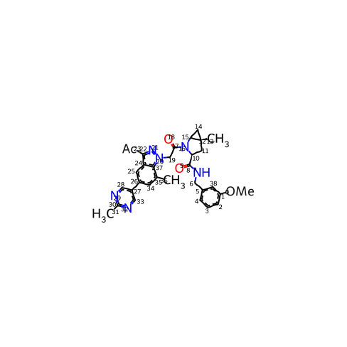 COc1cccc(CNC(=O)[C@@H]2C[C@@]3(C)CC3N2C(=O)Cn2nc(C(C)=O)c3cc(-c4cnc(C)nc4)cc(C)c32)c1